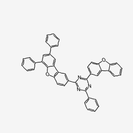 c1ccc(-c2cc(-c3ccccc3)c3oc4ccc(-c5nc(-c6ccccc6)nc(-c6ccc7oc8ccccc8c7c6)n5)cc4c3c2)cc1